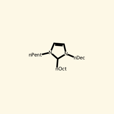 CCCCCCCCCCN1C=CN(CCCCC)C1CCCCCCCC